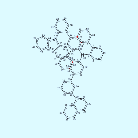 c1ccc(-c2ccccc2N(c2ccc(-c3cccc(-c4cccc5ccccc45)c3)cc2)c2ccc(-c3ccccc3-n3c4ccccc4c4ccccc43)cc2-c2ccccc2)cc1